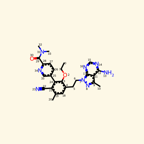 CCOc1c(CCn2nc(C)c3c(N)ncnc32)cc(C)c(C#N)c1-c1ccc(C(=O)N(C)C)nc1